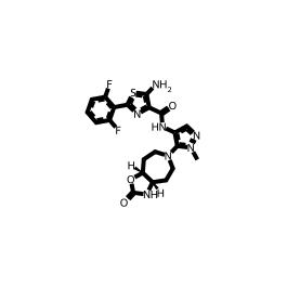 Cn1ncc(NC(=O)c2nc(-c3c(F)cccc3F)sc2N)c1N1CC[C@@H]2NC(=O)O[C@@H]2CC1